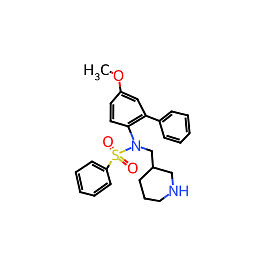 COc1ccc(N(CC2CCCNC2)S(=O)(=O)c2ccccc2)c(-c2ccccc2)c1